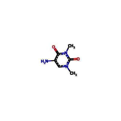 Cn1cc(N)c(=O)n(C)c1=O